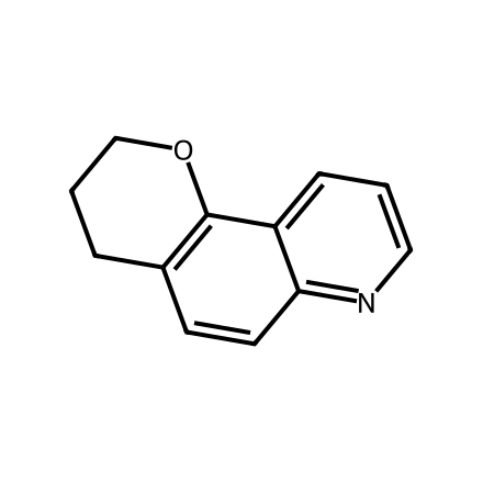 c1cnc2ccc3c(c2c1)OCCC3